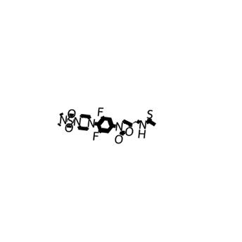 CC(=S)NC[C@H]1CN(c2cc(F)c(N3CCN(S(=O)(=O)N(C)C)CC3)c(F)c2)C(=O)O1